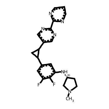 CN1CC[C@@H](Nc2cc(C3CC3c3cnc(-c4ncccn4)nc3)cc(F)c2F)C1